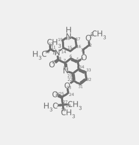 COCCOc1cc(C(=O)N(C(C)C)[C@@H]2CCCNC2)nc2c(OCC(=O)C(C)(C)C)cccc12